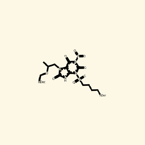 CCCCCCCCCCCCCCS(=O)(=O)n1c(=O)n(P(=O)=O)c(=O)c2c1[nH]c(=O)n2CC(C)OCCCCCCCCCCC